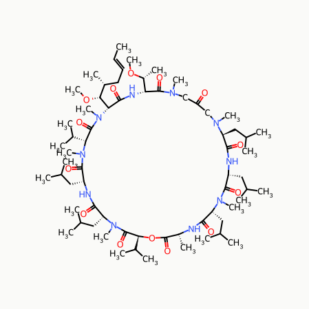 C/C=C/C[C@@H](C)[C@@H](OC)[C@@H]1C(=O)N[C@H]([C@@H](C)OC)C(=O)N(C)CC(=O)CN(C)[C@@H](CC(C)C)C(=O)N[C@H](CC(C)C)C(=O)N(C)[C@H](CC(C)C)C(=O)N[C@H](C)C(=O)O[C@@H](C(C)C)C(=O)N(C)[C@H](CC(C)C)C(=O)N[C@H](CC(C)C)C(=O)N(C)[C@H](C(C)C)C(=O)N1C